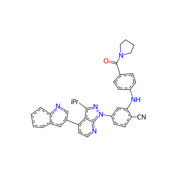 CC(C)c1nn(-c2ccc(C#N)c(Nc3ccc(C(=O)N4CCCC4)cc3)c2)c2nccc(-c3cnc4ccccc4c3)c12